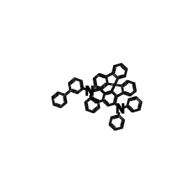 c1ccc(-c2cccc(N(c3ccccc3)c3ccc4c(c3)C3(c5ccccc5-4)c4ccccc4-c4c(N(c5ccccc5)c5ccccc5)cc5ccccc5c43)c2)cc1